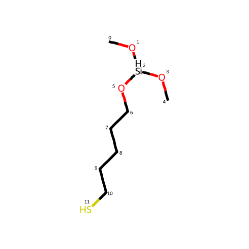 CO[SiH](OC)OCCCCCS